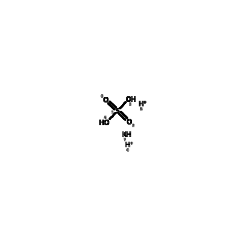 O=S(=O)(O)O.[H+].[H+].[KH]